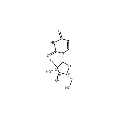 O=c1ccn(C2O[C@H](CO)[C@@H](O)[C@@]2(O)F)c(=O)[nH]1